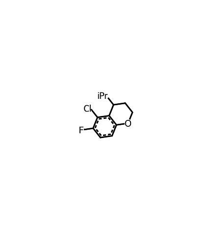 CC(C)C1CCOc2ccc(F)c(Cl)c21